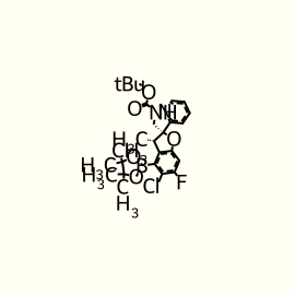 C[C@H]1c2c(cc(F)c(Cl)c2B2OC(C)(C)C(C)(C)O2)O[C@]1(CNC(=O)OC(C)(C)C)c1ccccn1